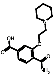 NC(=O)c1ccc(C(=O)O)cc1OCCN1CCCCC1